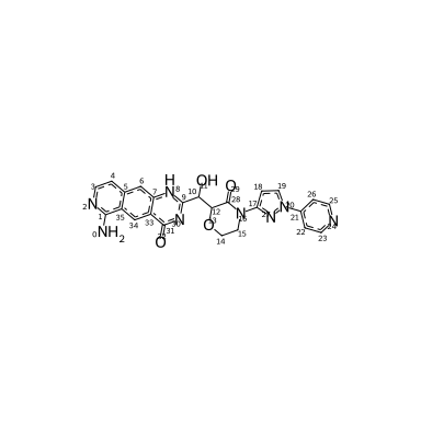 Nc1nccc2cc3[nH]c(C(O)C4OCCN(c5ccn(-c6ccncc6)n5)C4=O)nc(=O)c3cc12